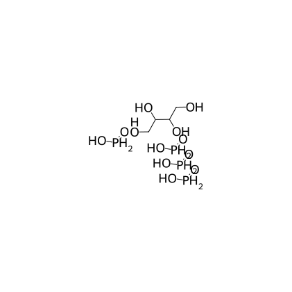 O=[PH2]O.O=[PH2]O.O=[PH2]O.O=[PH2]O.OCC(O)C(O)CO